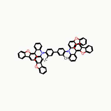 Cc1cc(-c2ccc(N(c3ccc4oc5ccccc5c4c3)c3ccccc3-c3cccc4c3oc3ccccc34)c(C)c2)ccc1N(c1ccc2oc3ccccc3c2c1)c1ccccc1-c1cccc2c1oc1ccccc12